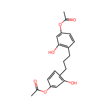 CC(=O)Oc1ccc(CCCc2ccc(OC(C)=O)cc2O)c(O)c1